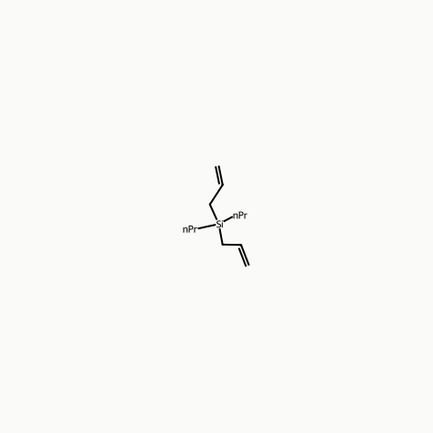 C=CC[Si](CC=C)(CCC)CCC